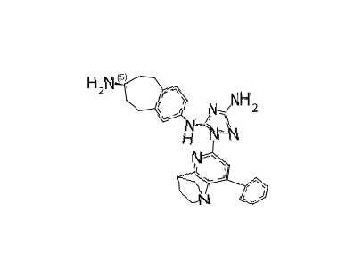 Nc1nc(Nc2ccc3c(c2)CC[C@@H](N)CC3)n(-c2cc(-c3ccccc3)c3c(n2)C2CCN3CC2)n1